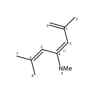 C=C(C)/C=C(\C=C(C)C)NC